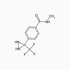 CNC(=O)c1ccc(C2(C(F)(F)F)NN2)cc1